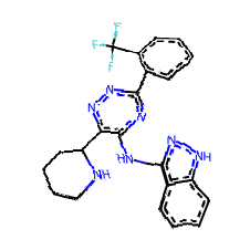 FC(F)(F)c1ccccc1-c1nnc(C2CCCCN2)c(Nc2n[nH]c3ccccc23)n1